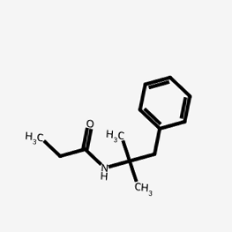 CCC(=O)NC(C)(C)Cc1ccccc1